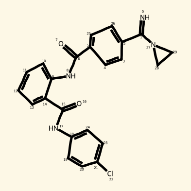 N=C(c1ccc(C(=O)Nc2ccccc2C(=O)Nc2ccc(Cl)cc2)cc1)N1CC1